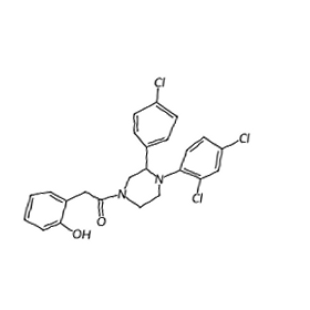 O=C(Cc1ccccc1O)N1CCN(c2ccc(Cl)cc2Cl)C(c2ccc(Cl)cc2)C1